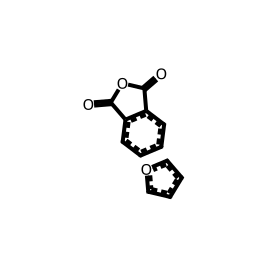 O=C1OC(=O)c2ccccc21.c1ccoc1